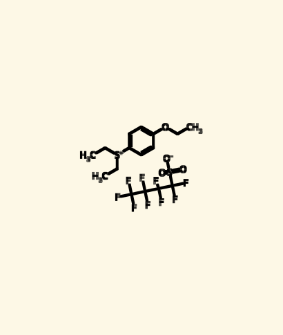 CCOc1ccc([S+](CC)CC)cc1.O=S(=O)([O-])C(F)(F)C(F)(F)C(F)(F)C(F)(F)F